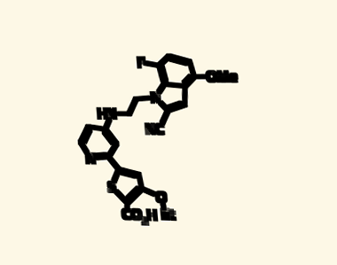 CCOc1cc(-c2cc(NCCn3c(C#N)cc4c(OC)ccc(F)c43)ccn2)sc1C(=O)O